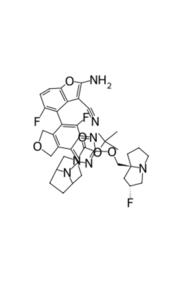 CC(C)(C)OC(=O)N1CC2CCC(C1)N2c1nc(OC[C@@]23CCCN2C[C@H](F)C3)nc2c(F)c(-c3c(F)ccc4oc(N)c(C#N)c34)c3c(c12)COC3